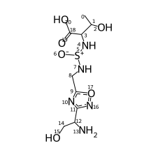 CC(O)C(N[S+]([O-])NCc1nc(C(N)CO)no1)C(=O)O